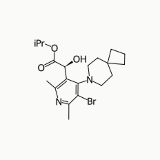 Cc1nc(C)c([C@H](O)C(=O)OC(C)C)c(N2CCC3(CCC3)CC2)c1Br